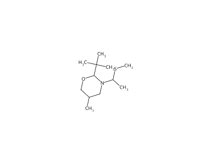 CSC(C)N1CC(C)COC1C(C)(C)C